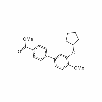 COC(=O)c1ccc(-c2ccc(OC)c(OC3CCCC3)c2)cc1